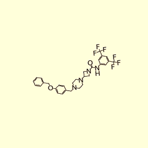 O=C(Nc1cc(C(F)(F)F)cc(C(F)(F)F)c1)N1CC(N2CCN(Cc3ccc(OCc4ccccc4)cc3)CC2)C1